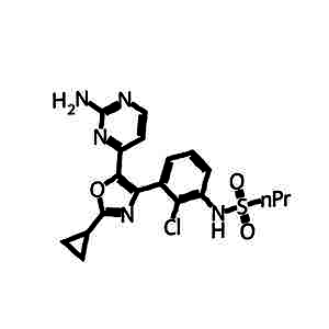 CCCS(=O)(=O)Nc1cccc(-c2nc(C3CC3)oc2-c2ccnc(N)n2)c1Cl